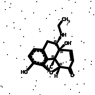 CCN[C@@H]1Cc2ccc(O)c3c2[C@@]2(C)[C@@H](O3)C(=O)C=C[C@@]12O